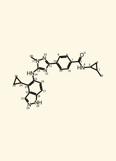 CC1CC1NC(=O)c1ccc(-c2nc(Nc3ccc4[nH]ncc4c3C3CC3)n(C)n2)cc1